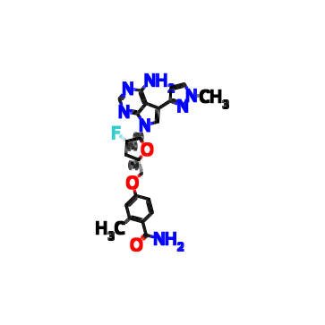 Cc1cc(OC[C@@H]2C[C@H](F)[C@H](n3cc(-c4ccn(C)n4)c4c(N)ncnc43)O2)ccc1C(N)=O